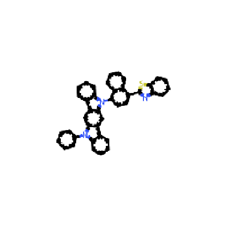 c1ccc(-n2c3ccccc3c3cc4c(cc32)c2ccccc2n4-c2ccc(-c3nc4ccccc4s3)c3ccccc23)cc1